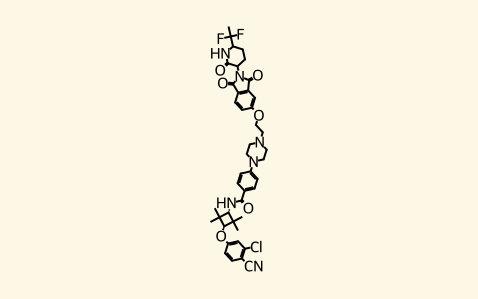 CC(F)(F)C1CCC(N2C(=O)c3ccc(OCCN4CCN(c5ccc(C(=O)N[C@H]6C(C)(C)[C@H](Oc7ccc(C#N)c(Cl)c7)C6(C)C)cc5)CC4)cc3C2=O)C(=O)N1